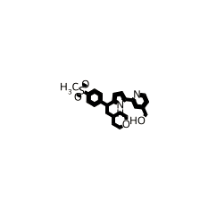 CS(=O)(=O)c1ccc(C(CC2CCOCC2)c2ccc(-c3cc(CO)ccn3)[nH]2)cc1